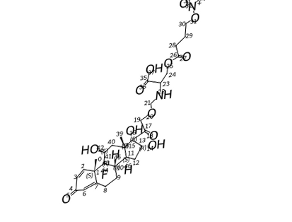 C[C@]12C=CC(=O)C=C1CC[C@H]1[C@@H]3C[C@@H](O)[C@](O)(C(=O)COCNC(COC(=O)CCCO[N+](=O)[O-])C(=O)O)[C@@]3(C)C[C@H](O)[C@@]12F